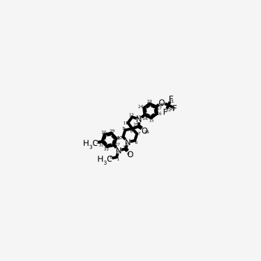 CCN(C(=O)N1CCC2(CC1)CCN(c1ccc(OC(F)(F)F)cc1)C2=O)c1cccc(C)c1